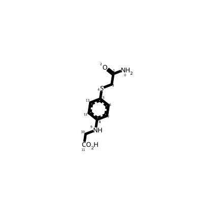 NC(=O)CSc1ccc(NCC(=O)O)cc1